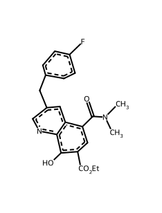 CCOC(=O)c1cc(C(=O)N(C)C)c2cc(Cc3ccc(F)cc3)cnc2c1O